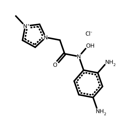 C[n+]1ccn(CC(=O)N(O)c2ccc(N)cc2N)c1.[Cl-]